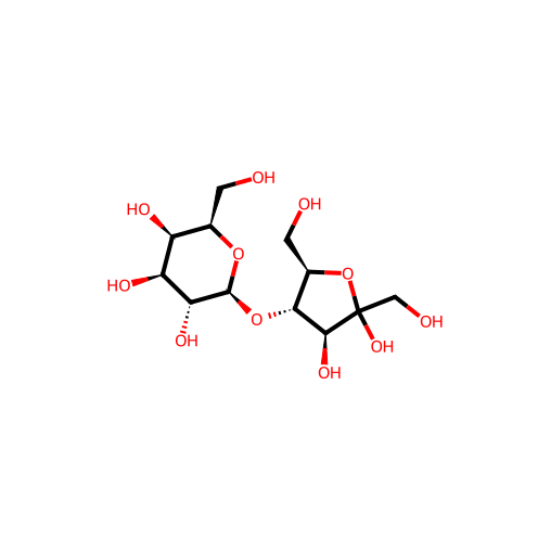 OC[C@H]1O[C@@H](O[C@@H]2[C@@H](CO)OC(O)(CO)[C@H]2O)[C@H](O)[C@@H](O)[C@H]1O